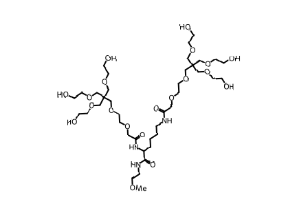 COCCNC(=O)C(CCCCNC(=O)COCCOCC(COCCO)(COCCO)COCCO)NC(=O)COCCOCC(COCCO)(COCCO)COCCO